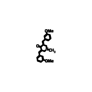 COc1cccc(C=C2CN(C)CC(=Cc3cccc(OC)c3)C2=O)c1